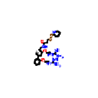 N=C(N)NCCOc1cc(-c2ccccc2OCCNC(=N)N)ccc1CNC(=O)CCSSc1ccccn1